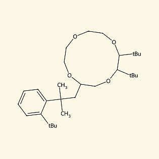 CC(C)(C)c1ccccc1C(C)(C)CC1COC(C(C)(C)C)C(C(C)(C)C)OCCOCCO1